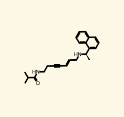 CC(C)C(=O)NCCC#C/C=C/CN[C@H](C)c1cccc2ccccc12